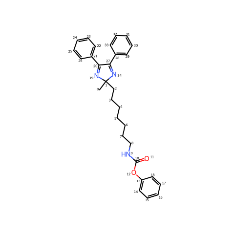 CC1(CCCCCCCNC(=O)Oc2ccccc2)N=C(c2ccccc2)C(c2ccccc2)=N1